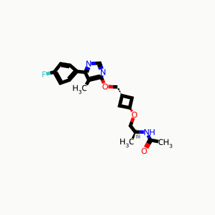 CC(=O)N[C@@H](C)CO[C@H]1C[C@H](COc2ncnc(-c3ccc(F)cc3)c2C)C1